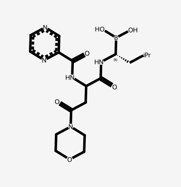 CC(C)C[C@H](NC(=O)C(CC(=O)N1CCOCC1)NC(=O)c1cnccn1)B(O)O